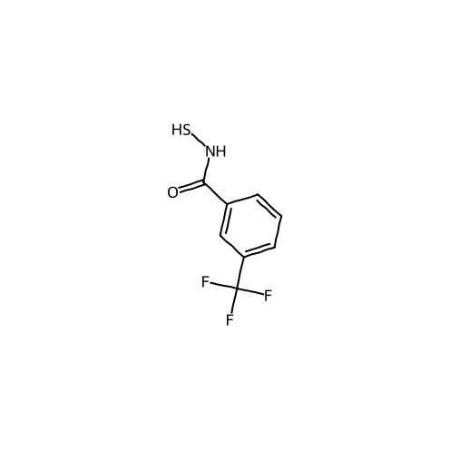 O=C(NS)c1cccc(C(F)(F)F)c1